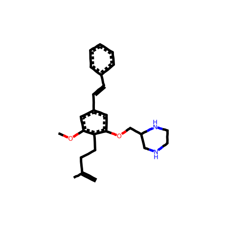 C=C(C)CCc1c(OC)cc(C=Cc2ccccc2)cc1OCC1CNCCN1